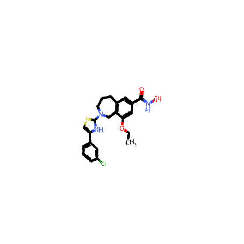 CCOc1cc(C(=O)NO)cc2c1CN(C1NC(c3cccc(Cl)c3)=CS1)CCC2